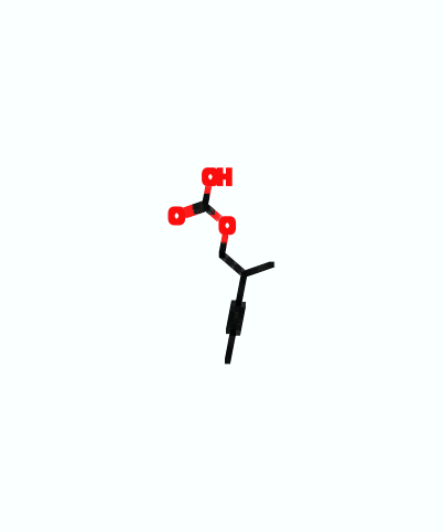 CC#CC(C)COC(=O)O